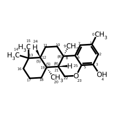 Cc1cc(O)c2c(c1)[C@]1(C)CC[C@H]3C(C)(C)CCC[C@]3(C)[C@H]1CO2